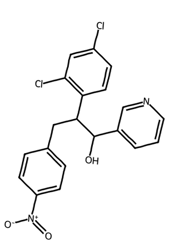 O=[N+]([O-])c1ccc(CC(c2ccc(Cl)cc2Cl)C(O)c2cccnc2)cc1